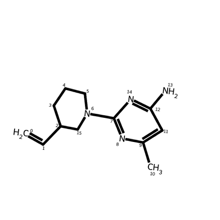 C=CC1CCCN(c2nc(C)cc(N)n2)C1